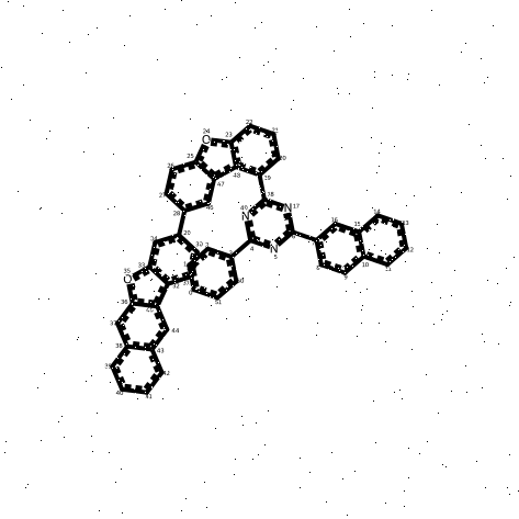 c1ccc(-c2nc(-c3ccc4ccccc4c3)nc(-c3cccc4oc5ccc(-c6ccc7c(c6)oc6cc8ccccc8cc67)cc5c34)n2)cc1